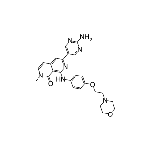 Cn1ccc2cc(-c3cnc(N)nc3)nc(Nc3ccc(OCCN4CCOCC4)cc3)c2c1=O